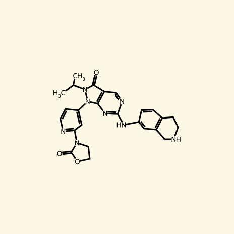 CC(C)n1c(=O)c2cnc(Nc3ccc4c(c3)CNCC4)nc2n1-c1ccnc(N2CCOC2=O)c1